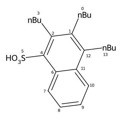 CCCCc1c(CCCC)c(S(=O)(=O)O)c2ccccc2c1CCCC